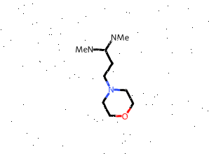 CNC(CCN1CCOCC1)NC